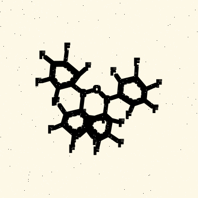 Fc1c(F)c(F)c(B(OB(c2c(F)c(F)c(F)c(F)c2F)c2c(F)c(F)c(F)c(F)c2F)c2c(F)c(F)c(F)c(F)c2F)c(F)c1F